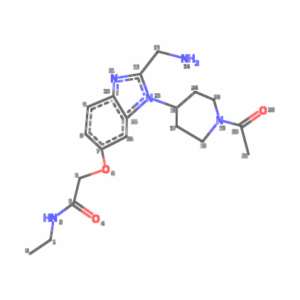 CCNC(=O)COc1ccc2nc(CN)n(C3CCN(C(C)=O)CC3)c2c1